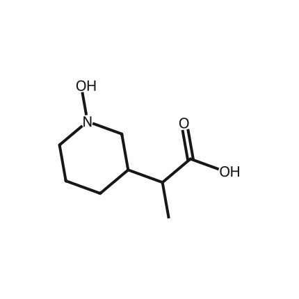 CC(C(=O)O)C1CCCN(O)C1